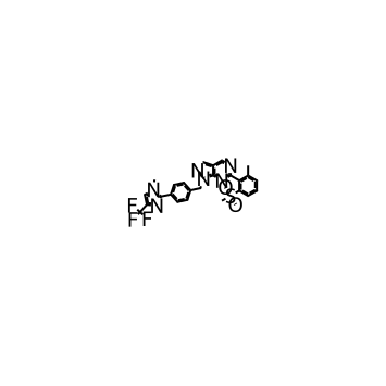 Cc1cccc(S(C)(=O)=O)c1-c1ncc2cnn(Cc3ccc(-c4nc(C(F)(F)F)cn4C)cc3)c2n1